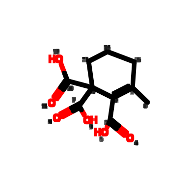 CC1=C(C(=O)O)C(C(=O)O)(C(=O)O)CCC1